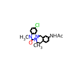 CC(=O)Nc1ccc2c(c1)C=NN(C(=O)N(C)c1ccc(Cl)cc1)C(C)C2